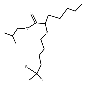 CCCCCC(SCCCCC(C)(F)F)C(=O)OCC(C)C